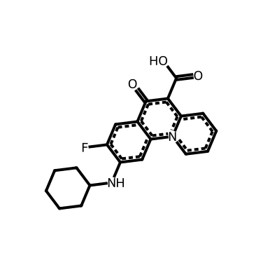 O=C(O)c1c(=O)c2cc(F)c(NC3CCCCC3)cc2n2ccccc12